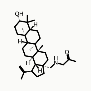 C=C(C)[C@@H]1CC[C@]2(CNCC(C)=O)CC[C@]3(C)[C@H](CC[C@@H]4[C@@]5(C)CC[C@H](O)C(C)(C)[C@@H]5CC[C@]43C)[C@@H]12